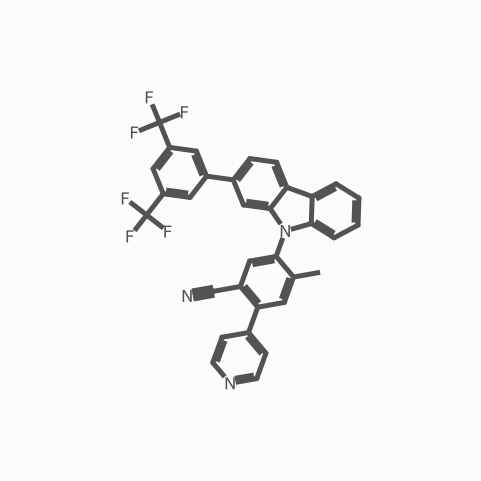 Cc1cc(-c2ccncc2)c(C#N)cc1-n1c2ccccc2c2ccc(-c3cc(C(F)(F)F)cc(C(F)(F)F)c3)cc21